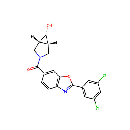 O=C(c1ccc2nc(-c3cc(Cl)cc(Cl)c3)oc2c1)N1C[C@@H]2[C@H](O)[C@@H]2C1